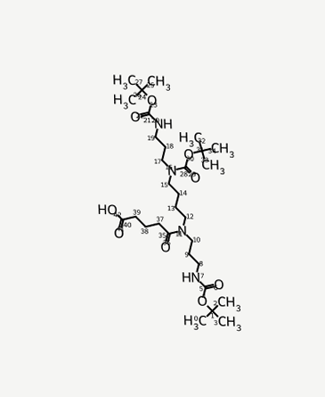 CC(C)(C)OC(=O)NCCCN(CCCCN(CCCNC(=O)OC(C)(C)C)C(=O)OC(C)(C)C)C(=O)CCCC(=O)O